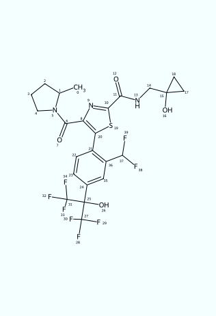 CC1CCCN1C(=O)c1nc(C(=O)NCC2(O)CC2)sc1-c1ccc(C(O)(C(F)(F)F)C(F)(F)F)cc1C(F)F